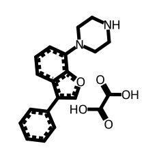 O=C(O)C(=O)O.c1ccc(-c2coc3c(N4CCNCC4)cccc23)cc1